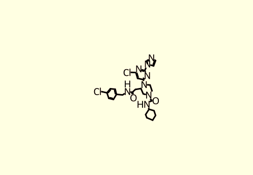 O=C(CC1CN(C(=O)NC2CCCCC2)CCN1c1cc(Cl)nc(-n2ccnc2)n1)NCc1ccc(Cl)cc1